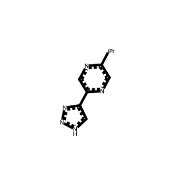 CC(C)c1cnc(-c2c[nH]nn2)cn1